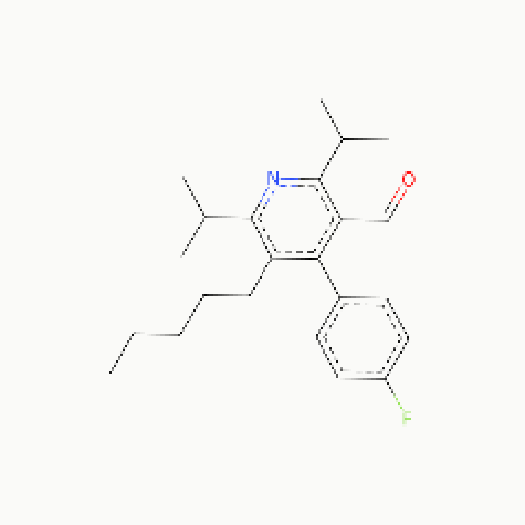 CCCCCc1c(C(C)C)nc(C(C)C)c(C=O)c1-c1ccc(F)cc1